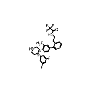 Cc1cc(-c2ccccc2CCNC(=O)C(F)(F)F)ccc1[C@H]1CNCC[C@@H]1c1cc(F)cc(F)c1